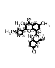 Cc1cc(C(C)Nc2ccc(Cl)nc2C#N)c2oc(-c3cnn(C)n3)c(C)c(=O)c2c1